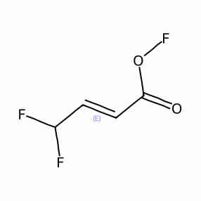 O=C(/C=C/C(F)F)OF